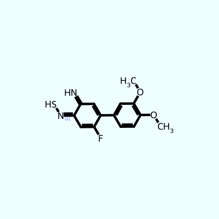 COc1ccc(C2=CC(=N)/C(=N\S)C=C2F)cc1OC